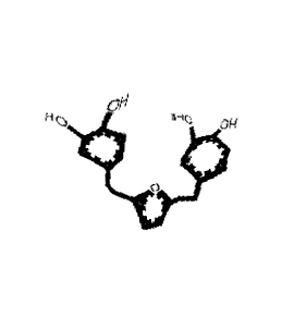 Oc1ccc(Cc2ccc(Cc3ccc(O)c(O)c3)o2)cc1O